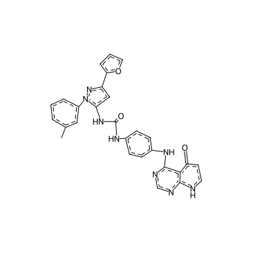 Cc1cccc(-n2nc(-c3ccco3)cc2NC(=O)Nc2ccc(Nc3ncnc4[nH]ccc(=O)c34)cc2)c1